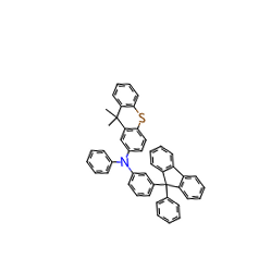 CC1(C)c2ccccc2Sc2ccc(N(c3ccccc3)c3cccc(C4(c5ccccc5)c5ccccc5-c5ccccc54)c3)cc21